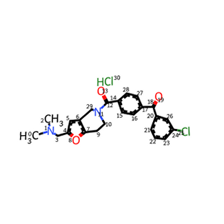 CN(C)Cc1cc2c(o1)CCN(C(=O)c1ccc(C(=O)c3cccc(Cl)c3)cc1)C2.Cl